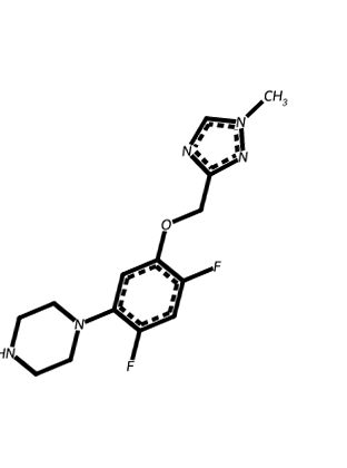 Cn1cnc(COc2cc(N3CCNCC3)c(F)cc2F)n1